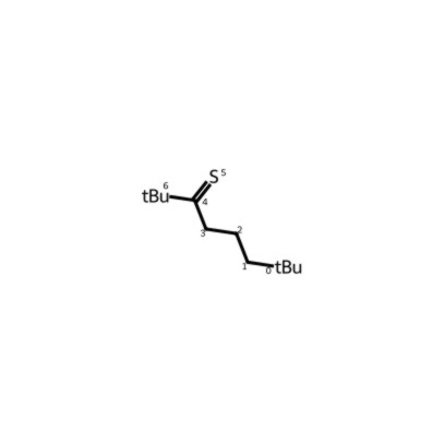 CC(C)(C)CCCC(=S)C(C)(C)C